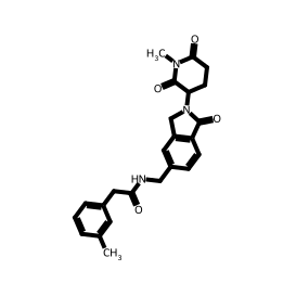 Cc1cccc(CC(=O)NCc2ccc3c(c2)CN(C2CCC(=O)N(C)C2=O)C3=O)c1